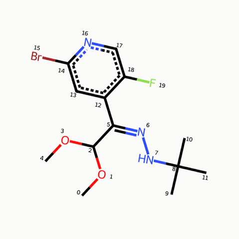 COC(OC)C(=NNC(C)(C)C)c1cc(Br)ncc1F